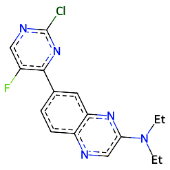 CCN(CC)c1cnc2ccc(-c3nc(Cl)ncc3F)cc2n1